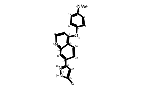 CNc1ccc(Oc2ccnc3cc(-c4cc(C)[nH]n4)ccc23)cc1